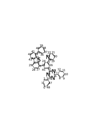 c1ccc(-c2nc(-c3ccccc3)nc(-c3cc(-c4ccccn4)cc(-c4cccc5c4sc4c(-c6ccccc6)cccc45)c3)n2)cc1